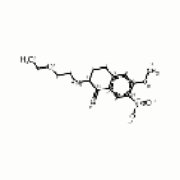 CCOCCNC1CCc2cc(OC)c([N+](=O)[O-])cc2C1=O